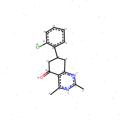 Cc1nc(C)c2c(n1)CC(c1ccccc1Cl)CC2=O